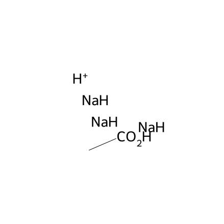 CC(=O)O.[H+].[NaH].[NaH].[NaH]